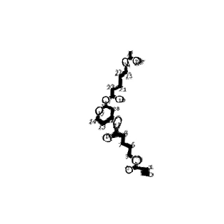 C=CC(=O)OCCCCC(=O)O[C@H]1CCOC(OC(=O)CCCCOC(C)=O)C1